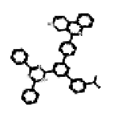 CC(C)c1cccc(-c2cc(-c3ccc(-c4nc5ccccc5c5c4CNC=C5)cc3)cc(C3N=C(c4ccccc4)N=C(c4ccccc4)N3)c2)c1